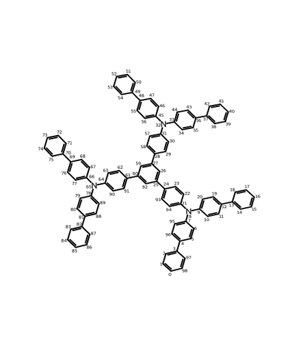 c1ccc(-c2ccc(N(c3ccc(-c4ccccc4)cc3)c3ccc(-c4cc(-c5ccc(N(c6ccc(-c7ccccc7)cc6)c6ccc(-c7ccccc7)cc6)cc5)cc(-c5ccc(N(c6ccc(-c7ccccc7)cc6)c6ccc(-c7ccccc7)cc6)cc5)c4)cc3)cc2)cc1